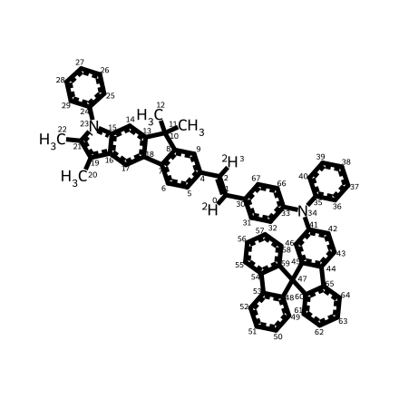 [2H]/C(=C(/[2H])c1ccc2c(c1)C(C)(C)c1cc3c(cc1-2)c(C)c(C)n3-c1ccccc1)c1ccc(N(c2ccccc2)c2ccc3c(c2)C2(c4ccccc4-c4ccccc42)c2ccccc2-3)cc1